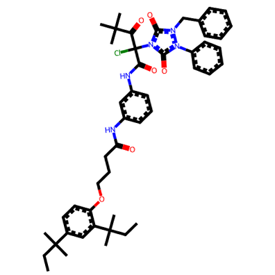 CCC(C)(C)c1ccc(OCCCC(=O)Nc2cccc(NC(=O)C(Cl)(C(=O)C(C)(C)C)n3c(=O)n(Cc4ccccc4)n(-c4ccccc4)c3=O)c2)c(C(C)(C)CC)c1